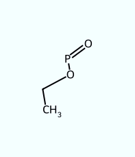 CCOP=O